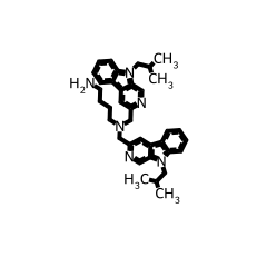 CC(C)Cn1c2ccccc2c2cc(CN(CCCCN)Cc3cc4c5ccccc5n(CC(C)C)c4cn3)ncc21